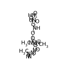 CCn1cnnc1-c1cccc(N2Cc3c(cc(N4CCC[C@H]4C)nc3CN(C)C(=O)COCCOCCNc3ccc4c(c3)C(=O)N(C3CCC(=O)NC3=O)C4=O)C2=O)n1